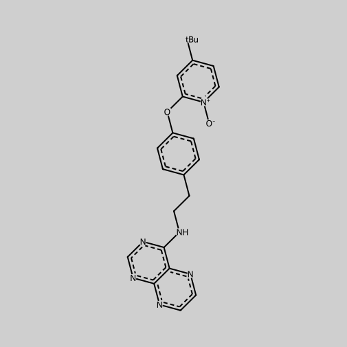 CC(C)(C)c1cc[n+]([O-])c(Oc2ccc(CCNc3ncnc4nccnc34)cc2)c1